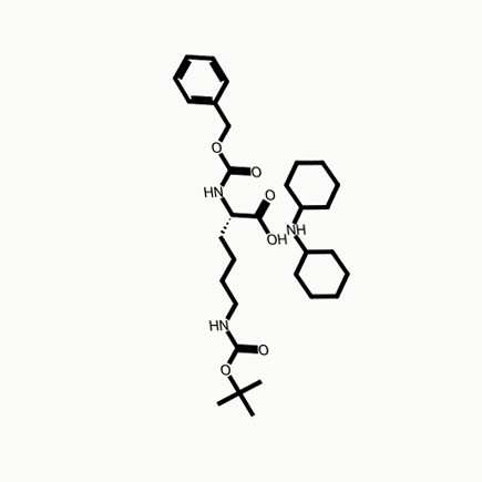 C1CCC(NC2CCCCC2)CC1.CC(C)(C)OC(=O)NCCCC[C@H](NC(=O)OCc1ccccc1)C(=O)O